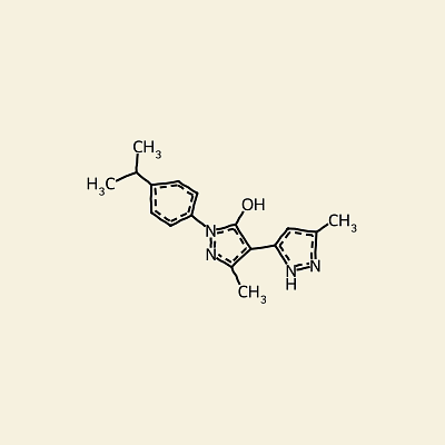 Cc1cc(-c2c(C)nn(-c3ccc(C(C)C)cc3)c2O)[nH]n1